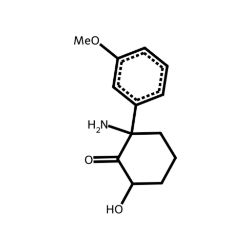 COc1cccc(C2(N)CCCC(O)C2=O)c1